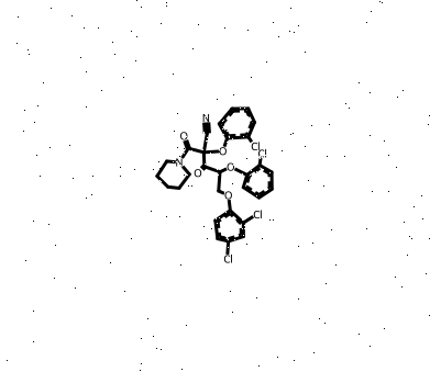 N#CC(Oc1ccccc1Cl)(C(=O)C(COc1ccc(Cl)cc1Cl)Oc1ccccc1Cl)C(=O)N1CCCCC1